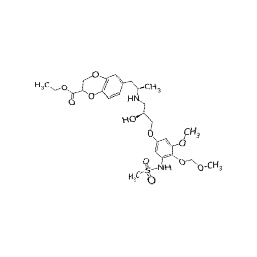 CCOC(=O)C1COc2cc(C[C@@H](C)NC[C@H](O)COc3cc(NS(C)(=O)=O)c(OCOC)c(OC)c3)ccc2O1